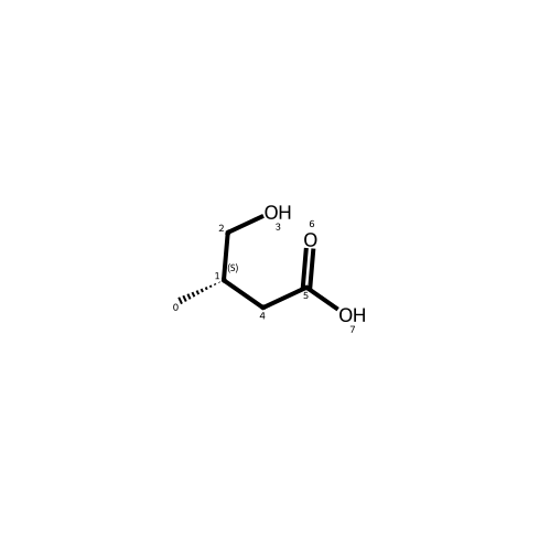 C[C@H](CO)CC(=O)O